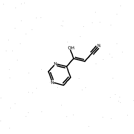 N#C/C=C(\O)c1ccncn1